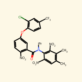 Cc1cc([N+](=O)[O-])c(N(C(=O)c2cc(Oc3ccc(C(F)(F)F)cc3Cl)ccc2[N+](=O)[O-])C(C)C)c([N+](=O)[O-])c1C